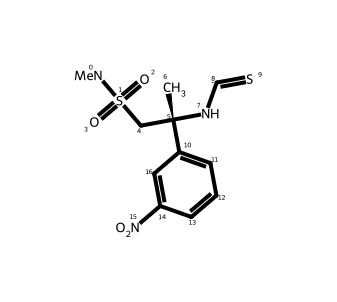 CNS(=O)(=O)C[C@](C)(N[C]=S)c1cccc([N+](=O)[O-])c1